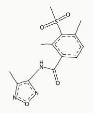 Cc1ccc(C(=O)Nc2nonc2C)c(C)c1S(C)(=O)=O